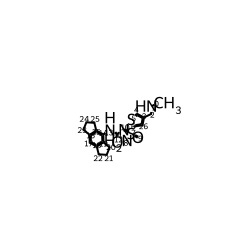 CNCc1csc(S(N)(=O)=NC(=O)Nc2c3c(cc4c2CCC4)CCC3)c1